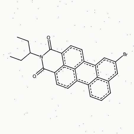 CCC(CC)N1C(=O)c2ccc3c4cccc5cc(Br)cc(c6ccc(c2c36)C1=O)c54